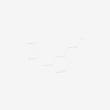 NCCc1cccc(Cc2ccccc2)c1